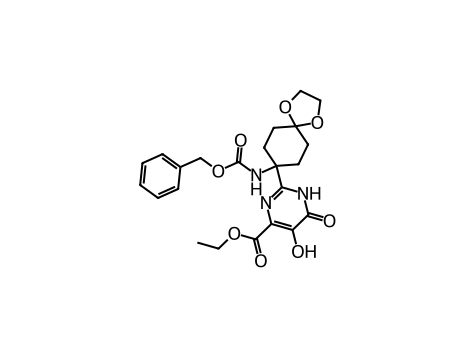 CCOC(=O)c1nc(C2(NC(=O)OCc3ccccc3)CCC3(CC2)OCCO3)[nH]c(=O)c1O